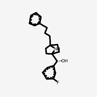 O[C@H](c1cccc(F)c1)C12CCC(CCCc3ccccc3)(CC1)N2